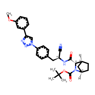 COc1cccc(-c2cn(-c3ccc(C[C@@H](C#N)NC(=O)[C@@H]4[C@H]5CC[C@H](C5)N4C(=O)OC(C)(C)C)cc3)nn2)c1